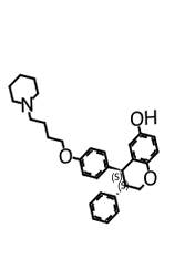 Oc1ccc2c(c1)[C@H](c1ccc(OCCCCN3CCCCC3)cc1)[C@@H](c1ccccc1)CO2